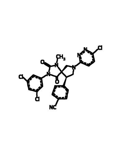 CN1C(=O)N(c2cc(Cl)cc(Cl)c2)C(=O)[C@]12CN(c1ccc(Cl)nn1)C[C@H]2c1ccc(C#N)cc1